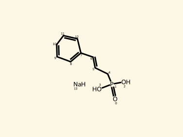 O=P(O)(O)C/C=C/c1ccccc1.[NaH]